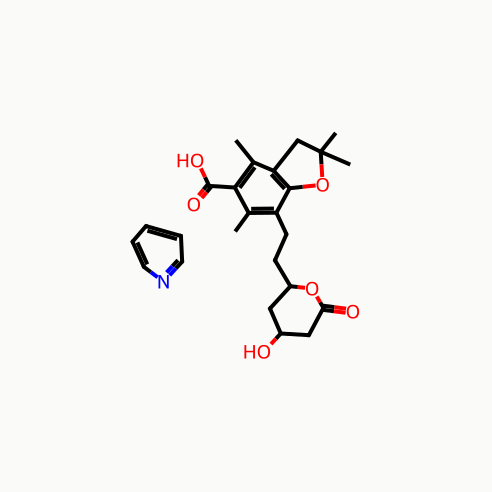 Cc1c(CCC2CC(O)CC(=O)O2)c2c(c(C)c1C(=O)O)CC(C)(C)O2.c1ccncc1